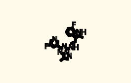 Cc1[nH]c2c(F)cccc2c1CCNc1nc(-c2cncc(F)c2)nc2c(C)cnn12